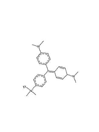 CC[N+](C)(C)c1ccc(C(=C2C=CC(N(C)C)C=C2)c2ccc(N(C)C)cc2)cc1